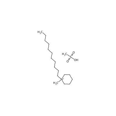 CCCCCCCCCCC[N+]1(C)CCCCC1.CS(=O)(=O)O